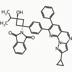 CC(C)[C@]1(O)C[C@](c2ccc(-c3nc4c(cnc5cc(C6CC6)nn54)cc3-c3ccccc3)cc2)(N2C(=O)c3ccccc3C2=O)C1